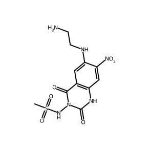 CS(=O)(=O)Nn1c(=O)[nH]c2cc([N+](=O)[O-])c(NCCN)cc2c1=O